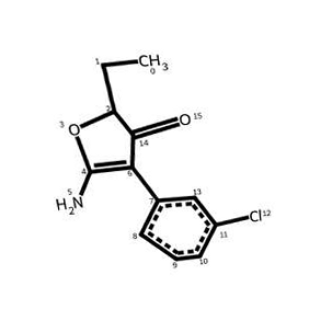 CCC1OC(N)=C(c2cccc(Cl)c2)C1=O